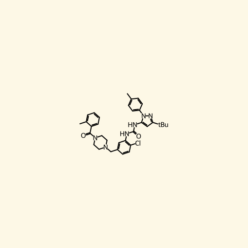 Cc1ccc(-n2nc(C(C)(C)C)cc2NC(=O)Nc2cc(CN3CCN(C(=O)c4ccccc4C)CC3)ccc2Cl)cc1